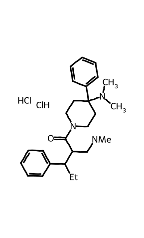 CCC(c1ccccc1)C(CNC)C(=O)N1CCC(c2ccccc2)(N(C)C)CC1.Cl.Cl